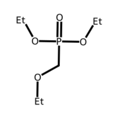 CCOCP(=O)(OCC)OCC